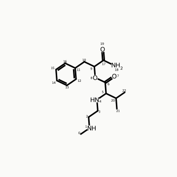 CNCCNC(C(=O)OC(Cc1ccccc1)C(N)=O)C(C)C